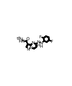 CC(C)(C)NC(=O)c1cnn2ccc(NNc3cc(F)ccc3F)nc12